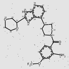 Nc1cc(OC(F)(F)F)ccc1C(=O)N1CCC(c2ccnc3[nH]c(C4COCCO4)nc23)CC1